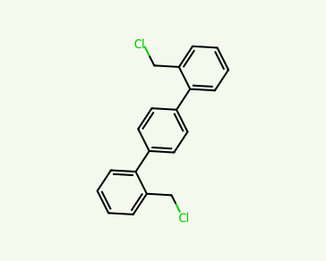 ClCc1ccccc1-c1ccc(-c2ccccc2CCl)cc1